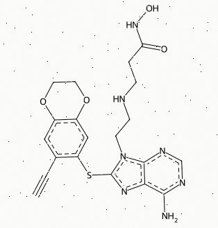 C#Cc1cc2c(cc1Sc1nc3c(N)ncnc3n1CCNCCC(=O)NO)OCCO2